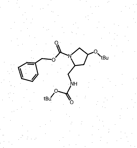 CC(C)(C)OC(=O)NCC1CC(OC(C)(C)C)CN1C(=O)OCc1ccccc1